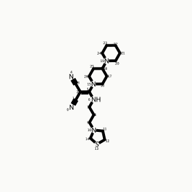 N#CC(C#N)=C(NCCCN1CCSC1)N1CCC(N2CCCCC2)CC1